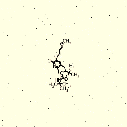 COCCCOc1cc(C[C@H](OC(=O)NC(C)(C)C)C(C)(C)C)c(I)nc1Cl